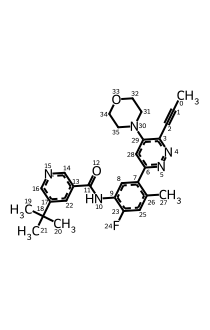 CC#Cc1nnc(-c2cc(NC(=O)c3cncc(C(C)(C)C)c3)c(F)cc2C)cc1N1CCOCC1